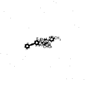 Cc1ccc(N2CCN(C(=O)N(C)c3c(F)cc(C#Cc4ccccc4)cc3F)C(C)(CC=O)C2=O)nn1